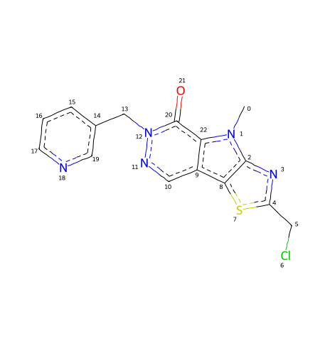 Cn1c2nc(CCl)sc2c2cnn(Cc3cccnc3)c(=O)c21